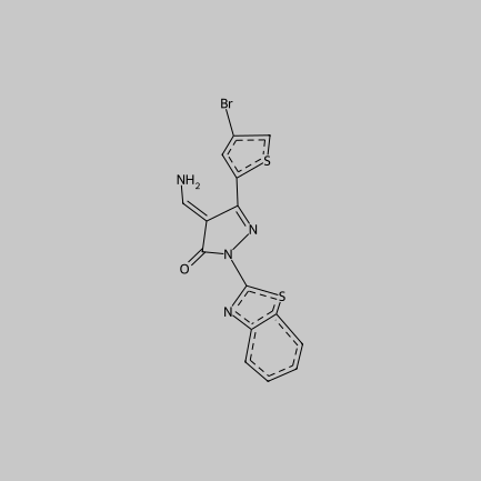 N/C=C1/C(=O)N(c2nc3ccccc3s2)N=C1c1cc(Br)cs1